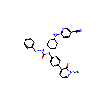 Cn1cccc(-c2ccc(N(C(=O)NCc3ccccc3)[C@H]3CC[C@H](Nc4ccc(C#N)cn4)CC3)cc2)c1=O